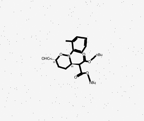 CCCCOC(=O)C(C(=O)OCCCC)[C@H]1CC[C@H](C=O)ON1c1ccccc1C